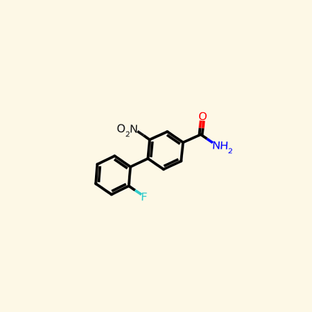 NC(=O)c1ccc(-c2ccccc2F)c([N+](=O)[O-])c1